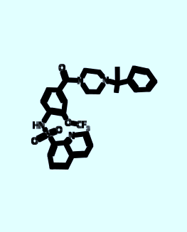 CC(C)(c1ccccc1)N1CCN(C(=O)c2ccc(NS(=O)(=O)c3cccc4cccnc34)c(OC(F)(F)F)c2)CC1